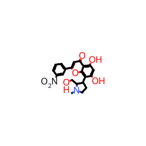 CN1CCC(c2c(O)cc(O)c3c(=O)cc(-c4cccc([N+](=O)[O-])c4)oc23)C1CO